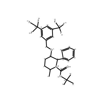 CC1CCC(OCc2cc(C(F)(F)F)cc(C(F)(F)F)c2)C(c2ccccc2)N1C(=O)OC(C)(C)C